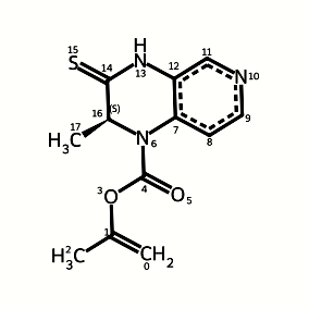 C=C(C)OC(=O)N1c2ccncc2NC(=S)[C@@H]1C